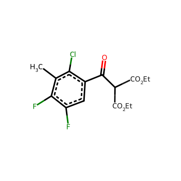 CCOC(=O)C(C(=O)OCC)C(=O)c1cc(F)c(F)c(C)c1Cl